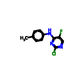 Cc1ccc(Nc2nc(Cl)ncc2F)cc1